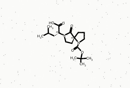 CC(C)C[C@H](C(=O)O)N1CC[C@]2(CCCN2C(=O)OC(C)(C)C)C1=O